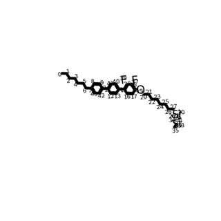 CCCCCCCc1ccc(-c2ccc(-c3ccc(OCCCCCCCC[Si](C)(C)C[Si](C)(C)C)c(F)c3F)cc2)cc1